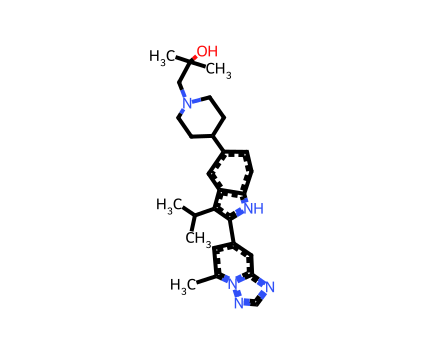 Cc1cc(-c2[nH]c3ccc(C4CCN(CC(C)(C)O)CC4)cc3c2C(C)C)cc2ncnn12